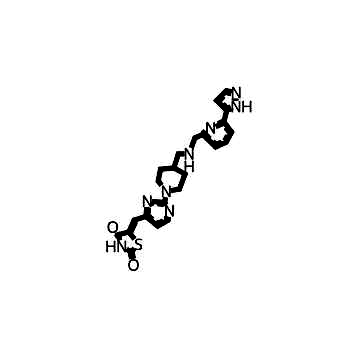 O=C1NC(=O)/C(=C/c2ccnc(N3CCC(CNCc4cccc(-c5ccn[nH]5)n4)CC3)n2)S1